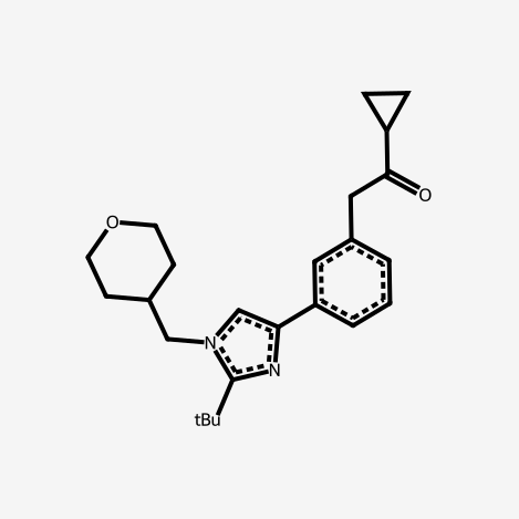 CC(C)(C)c1nc(-c2cccc(CC(=O)C3CC3)c2)cn1CC1CCOCC1